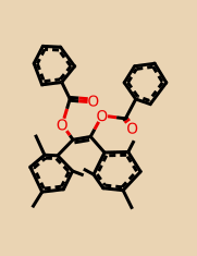 Cc1cc(C)c(C(OC(=O)c2ccccc2)=C(OC(=O)c2ccccc2)c2c(C)cc(C)cc2C)c(C)c1